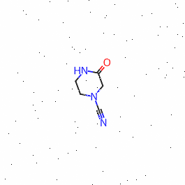 N#CN1CCNC(=O)C1